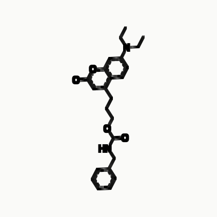 CCN(CC)c1ccc2c(CCCOC(=O)NCc3ccccc3)cc(=O)oc2c1